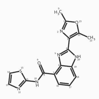 Cc1nc(-c2nc3c(C(=O)Nc4nccs4)cccc3[nH]2)c(C)o1